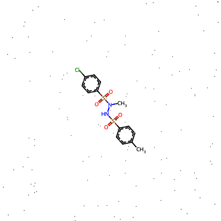 Cc1ccc(S(=O)(=O)NN(C)S(=O)(=O)c2ccc(Cl)cc2)cc1